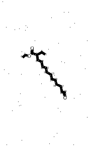 CCOC(=O)C(CC)CCCCCCCCCCCC=O